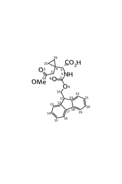 COC(=O)CC1([C@@H](NC(=O)OCC2c3ccccc3-c3ccccc32)C(=O)O)CC1